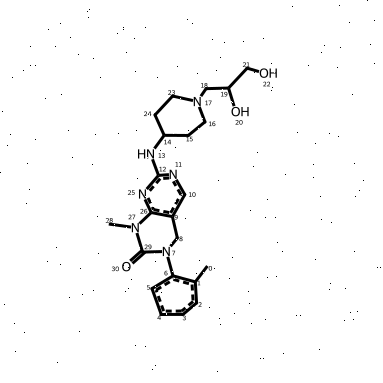 Cc1ccccc1N1Cc2cnc(NC3CCN(CC(O)CO)CC3)nc2N(C)C1=O